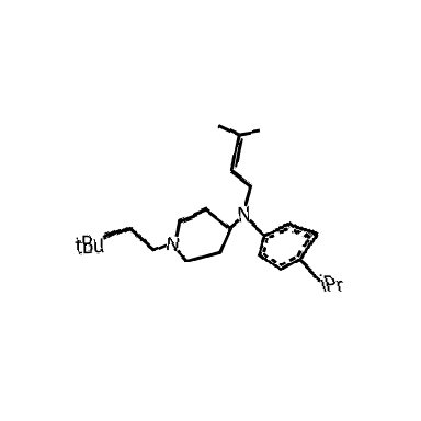 CC(C)=CCN(c1ccc(C(C)C)cc1)C1CCN(CCC(C)(C)C)CC1